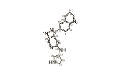 c1cnc2ccc(-n3nnc4cnc(N[C@@H]5CCNC5)nc43)cc2c1